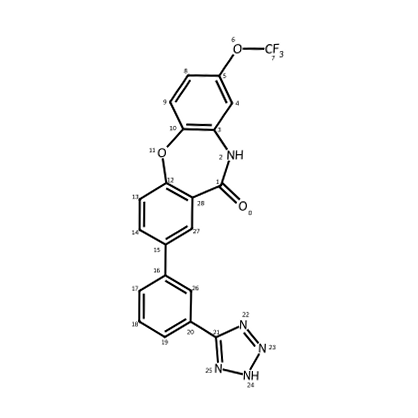 O=C1Nc2cc(OC(F)(F)F)ccc2Oc2ccc(-c3cccc(-c4nn[nH]n4)c3)cc21